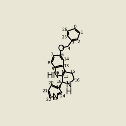 c1ccc(COc2ccc3[nH]c4c(c3c2)CCNC4c2cccnc2)cc1